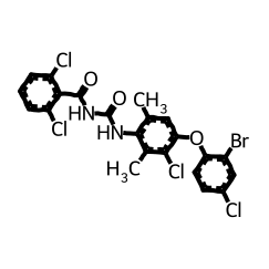 Cc1cc(Oc2ccc(Cl)cc2Br)c(Cl)c(C)c1NC(=O)NC(=O)c1c(Cl)cccc1Cl